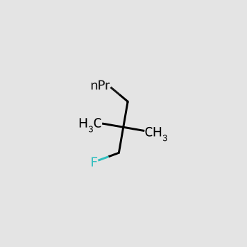 CCCCC(C)(C)CF